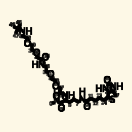 CNC(=O)C(CCCNC(=O)CCCCC1SCC2NC(=O)NC21)NC(=O)COCCOCCNC(=O)COCCOCCNC(C)(C)C